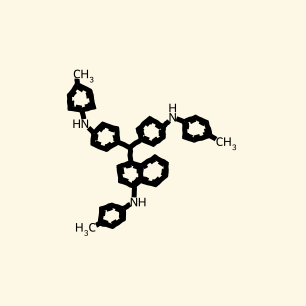 Cc1ccc(Nc2ccc(C(c3ccc(Nc4ccc(C)cc4)cc3)c3ccc(Nc4ccc(C)cc4)c4ccccc34)cc2)cc1